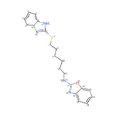 c1ccc2[nH]c(SCCCCCCNc3nc4ccccc4o3)nc2c1